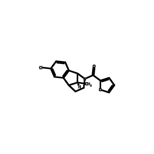 C[C@H]1C2CCN(C(=O)c3ccco3)C1c1ccc(Cl)cc12